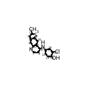 Cc1cc2cc3nccc(Nc4ccc(O)c(Cl)c4)c3cc2s1